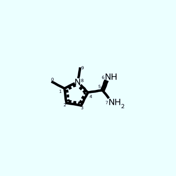 Cc1ccc(C(=N)N)n1C